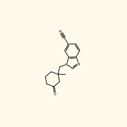 CC1(Cn2cnc3ccc(C#N)cc32)CCCC(=O)C1